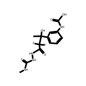 CNC(=S)NNC(=O)C(F)(F)C(C)(O)c1cccc(NC(=O)O)c1